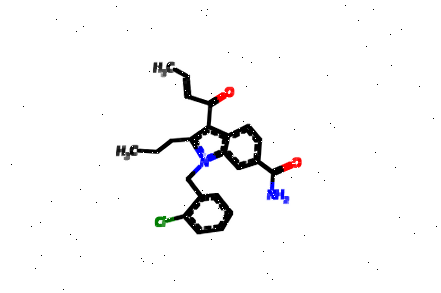 CC=CC(=O)c1c(CCC)n(Cc2ccccc2Cl)c2cc(C(N)=O)ccc12